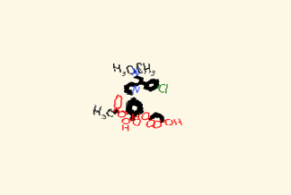 CC(=O)Oc1ccccc1C(=O)O.CN(C)CCC(c1ccc(Cl)cc1)c1ccccn1.O=C(O)/C=C\C(=O)O